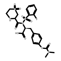 CN(C)C(=O)Oc1ccc(C[C@@H](C(=O)O)N(C(=O)C2CS(=O)(=O)CCN2)S(=O)(=O)c2ccccc2F)cc1